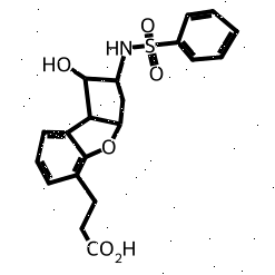 O=C(O)CCc1cccc2c1OC1CC(NS(=O)(=O)c3ccccc3)C(O)C21